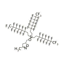 CC1=NOC(CO[Si](CCC(F)(F)C(F)(F)C(F)(F)C(F)(F)C(F)(F)C(F)(F)F)(CCC(F)(F)C(F)(F)C(F)(F)C(F)(F)C(F)(F)C(F)(F)F)CCC(F)(F)C(F)(F)C(F)(F)C(F)(F)C(F)(F)C(F)(F)F)C1